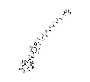 CCCCCCCCCCCCCCCCOc1ccc(OCC(=O)Nc2ccccc2CBr)cc1